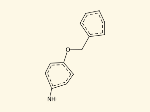 [NH]c1ccc(OCc2ccccc2)cc1